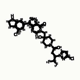 O=C(CC(C(F)F)n1ccc(Cl)n1)N1CCC(O)(Cn2cnc3c(-c4cc(Cl)c5c(c4)NCC5)snc3c2=O)CC1